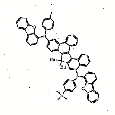 Cc1ccc(N(c2ccc3c4c(c5ccccc5c3c2)-c2c(cc(N(c3ccc([Si](C)(C)C)cc3)c3cccc5c3oc3ccccc35)c3ccccc23)C4(C(C)(C)C)C(C)(C)C)c2cccc3c2oc2ccccc23)cc1